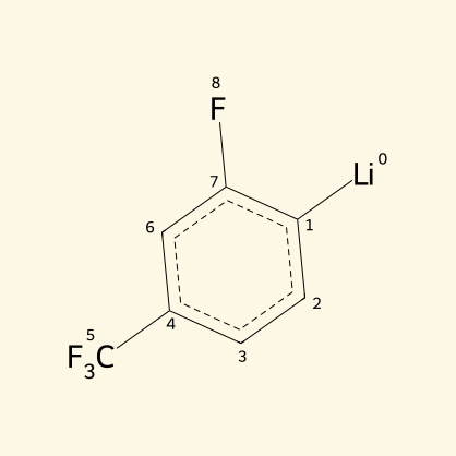 [Li][c]1ccc(C(F)(F)F)cc1F